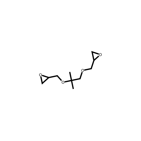 CC(C)(COCC1CO1)OCC1CO1